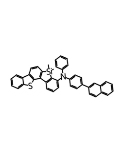 C[Si]1(C)c2ccc3c(sc4ccccc43)c2-c2cccc(N(c3ccccc3)c3ccc(-c4ccc5ccccc5c4)cc3)c21